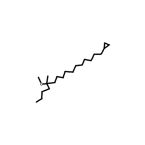 CCCCC(C)(CCCCCCCCCCCC1CC1)OC